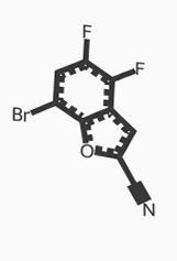 N#Cc1cc2c(F)c(F)cc(Br)c2o1